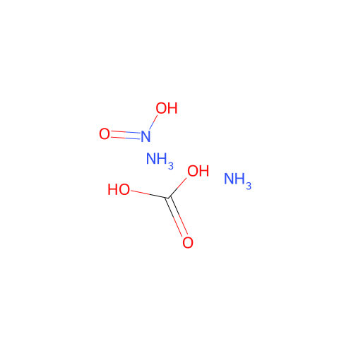 N.N.O=C(O)O.O=NO